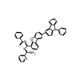 C=C(/N=C(\N=C(/N)c1ccccn1)c1cccc2c1oc1ccc(-c3ccc4c(c3)c3ccccc3n4-c3ccccc3)cc12)c1ccccc1